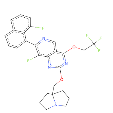 Fc1c(-c2cccc3cccc(F)c23)ncc2c(OCC(F)(F)F)nc(OCC34CCCN3CCC4)nc12